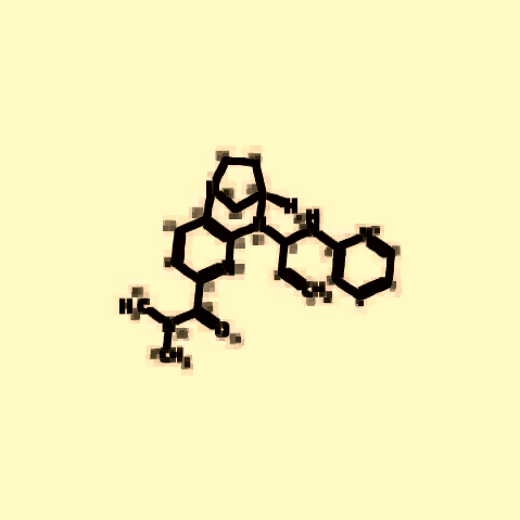 C=CC(Nc1ccccn1)N1c2nc(C(=O)N(C)C)ccc2N2CC[C@H]1C2